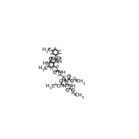 CCOC(=O)N=C(NC(=O)OCC)N(OCCNC(=O)Cc1cc(C)[nH]c(=O)c1NS(=O)(=O)c1cccc(C)c1)C(=O)OCC